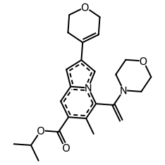 C=C(c1c(C)c(C(=O)OC(C)C)cc2cc(C3=CCOCC3)cn12)N1CCOCC1